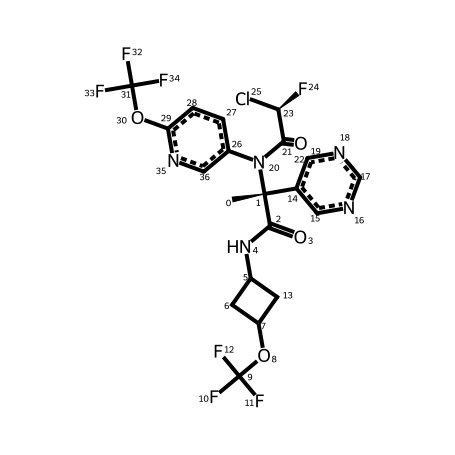 C[C@](C(=O)NC1CC(OC(F)(F)F)C1)(c1cncnc1)N(C(=O)[C@H](F)Cl)c1ccc(OC(F)(F)F)nc1